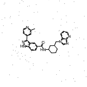 Cc1cc(-c2n[nH]c3ccc(C(=O)NC4CCCC(Cn5cnc6ncccc65)C4)cc23)ccn1